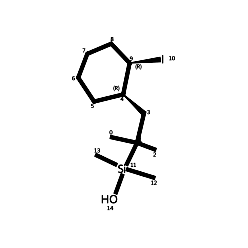 CC(C)(C[C@H]1CCCC[C@H]1I)[Si](C)(C)O